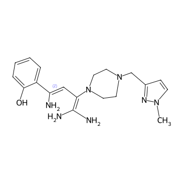 Cn1ccc(CN2CCN(C(/C=C(\N)c3ccccc3O)=C(N)N)CC2)n1